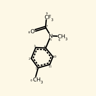 Cc1ccc(N(C)C(=O)C(F)(F)F)cc1